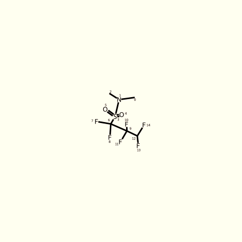 CN(C)S(=O)(=O)C(F)(F)C(F)(F)C(F)F